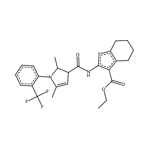 CCOC(=O)c1c(NC(=O)C2C=C(C)N(c3ccccc3C(F)(F)F)C2C)sc2c1CCCC2